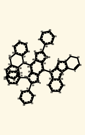 C1=Cc2c(nc3n(-c4c5nc(-c6ccccc6)n(-c6ccccc6)c5c(N5c6ccccc6Oc6ccccc65)c5nc(-c6ccccc6)oc45)c4ccccc4n23)CC1